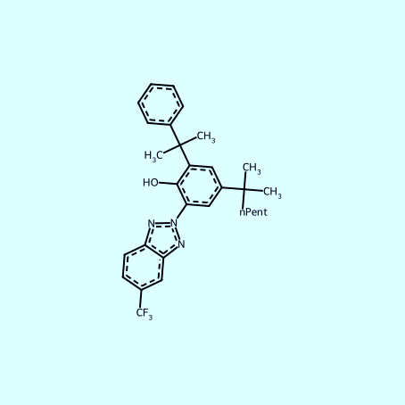 CCCCCC(C)(C)c1cc(-n2nc3ccc(C(F)(F)F)cc3n2)c(O)c(C(C)(C)c2ccccc2)c1